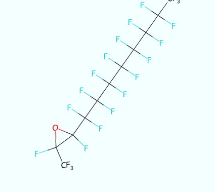 FC(F)(F)C(F)(F)C(F)(F)C(F)(F)C(F)(F)C(F)(F)C(F)(F)C(F)(F)C1(F)OC1(F)C(F)(F)F